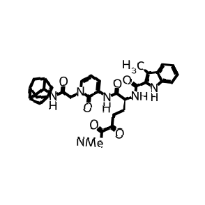 CNC(=O)C(=O)CC[C@H](NC(=O)c1[nH]c2ccccc2c1C)C(=O)Nc1cccn(CC(=O)NC2C3CC4CC(C3)C2C4)c1=O